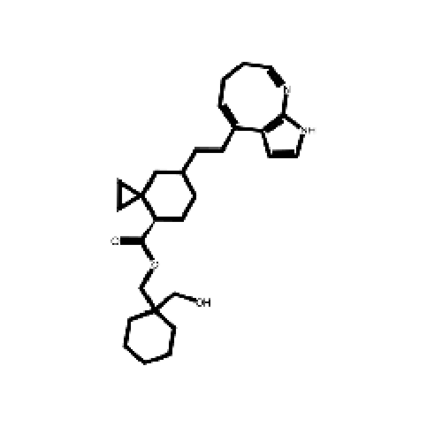 O=C(OCC1(CO)CCCCC1)[C@@H]1CCC(CC/C2=C/CC/C=N\c3[nH]ccc32)CC12CC2